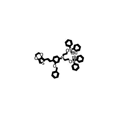 CC(C)(C)[Si](OCCN(CCO[Si](c1ccccc1)(c1ccccc1)C(C)(C)C)c1ccc(C=Cc2scc3c2OCCO3)c(OCc2ccccc2)c1)(c1ccccc1)c1ccccc1